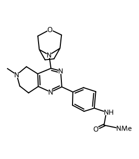 CNC(=O)Nc1ccc(-c2nc3c(c(N4C5CCC4COC5)n2)CN(C)CC3)cc1